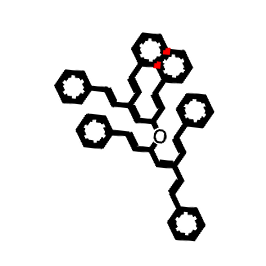 C(=Cc1ccccc1)C(C=Cc1ccccc1)=CC(C=Cc1ccccc1)OC(C=Cc1ccccc1)C=C(C=Cc1ccccc1)C=Cc1ccccc1